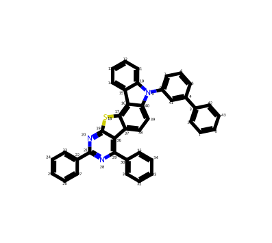 c1ccc(-c2cccc(-n3c4ccccc4c4c5sc6nc(-c7ccccc7)nc(-c7ccccc7)c6c5ccc43)c2)cc1